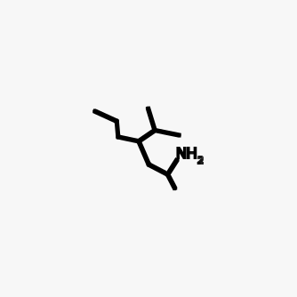 CCCC(CC(C)N)C(C)C